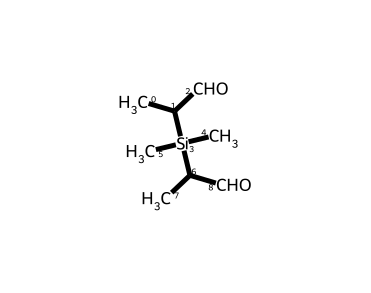 CC(C=O)[Si](C)(C)C(C)C=O